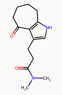 CN(C)C(=O)CCc1c[nH]c2c1C(=O)CCCC2